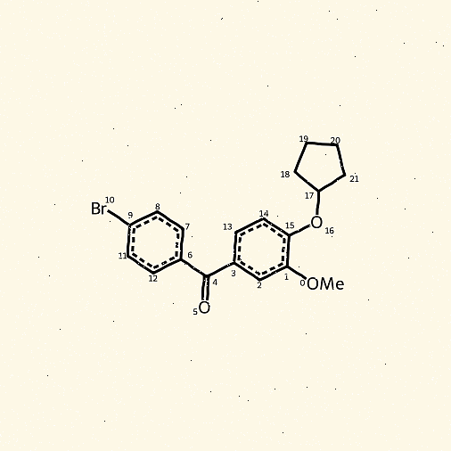 COc1cc(C(=O)c2ccc(Br)cc2)ccc1OC1CCCC1